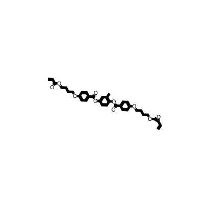 C=CC(=O)OCCCCOc1ccc(C(=O)Oc2ccc(OC(=O)c3ccc(OCCCCOC4OC4C=C)cc3)c(C)c2)cc1